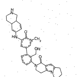 Cn1cc(-c2cccc(N3CCc4c(cc5n4CCCC5)C3=O)c2CO)cc(NC2=CC3CCNCC3C=C2)c1=O